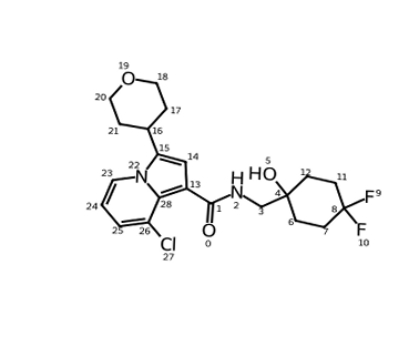 O=C(NCC1(O)CCC(F)(F)CC1)c1cc(C2CCOCC2)n2cccc(Cl)c12